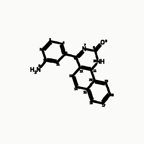 Nc1cccc(-c2nc(=O)[nH]c3c2ccc2ccccc23)c1